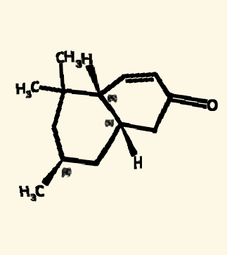 C[C@@H]1C[C@H]2CC(=O)C=C[C@H]2C(C)(C)C1